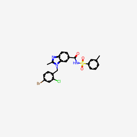 Cc1cccc(S(=O)(=O)NC(=O)c2ccc3nc(C)n(Cc4ccc(Br)cc4Cl)c3c2)c1